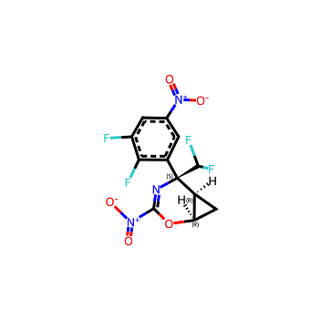 O=[N+]([O-])C1=N[C@@](c2cc([N+](=O)[O-])cc(F)c2F)(C(F)F)[C@H]2C[C@H]2O1